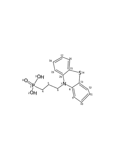 O=P(O)(O)CCCN1c2ccccc2Sc2ccccc21